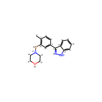 Cc1ccc(-c2n[nH]c3ccccc23)cc1SN1CCOCC1